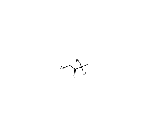 CCC(C)(CC)C(=O)CC(C)=O